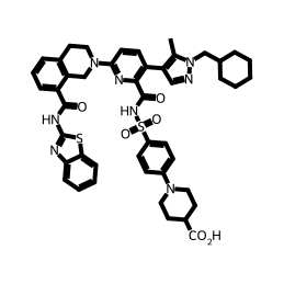 Cc1c(-c2ccc(N3CCc4cccc(C(=O)Nc5nc6ccccc6s5)c4C3)nc2C(=O)NS(=O)(=O)c2ccc(N3CCC(C(=O)O)CC3)cc2)cnn1CC1CCCCC1